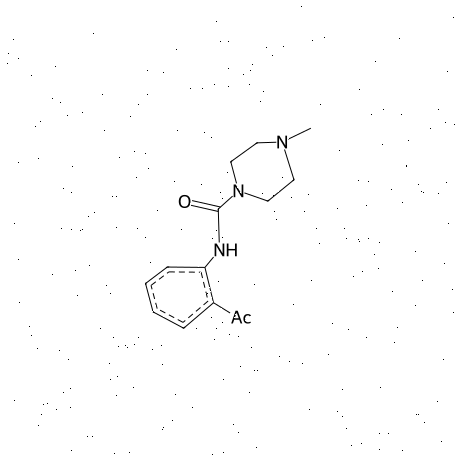 CC(=O)c1ccccc1NC(=O)N1CCN(C)CC1